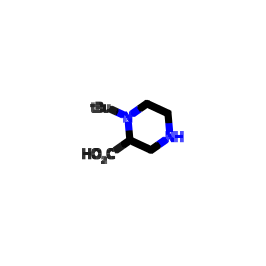 CC(C)(C)N1CCNCC1C(=O)O